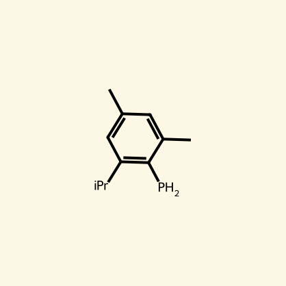 Cc1cc(C)c(P)c(C(C)C)c1